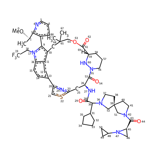 CO[C@@H](C)c1ncccc1-c1c2c3cc(ccc3n1CC(F)(F)F)-c1csc(n1)C[C@H](NC(=O)C(C1CCCC1)N1CC[C@]3(CCN(C(=O)[C@H]4CN4C4CC4)C3)C1)C(=O)N1CCC[C@H](N1)C(=O)OCC(C)(C)C2